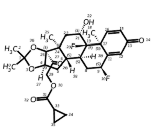 CC1(C)O[C@@H]2C[C@H]3[C@@H]4C[C@H](F)C5=CC(=O)C=C[C@]5(C)[C@@]4(F)[C@@H](O)C[C@]3(C)[C@]2(C(=O)COC(=O)C2CC2)O1